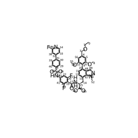 CCOCc1cc(OC)c(-c2ccc(C[C@H](NC(=O)c3c(F)cc(NS(=O)(=O)c4ccc(-c5ccnc(F)c5)cc4)cc3F)C(=O)O)c3c2cnn3C)c(OC)c1